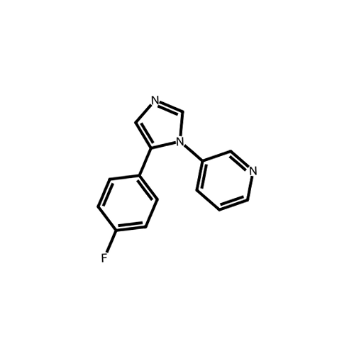 Fc1ccc(-c2cncn2-c2cccnc2)cc1